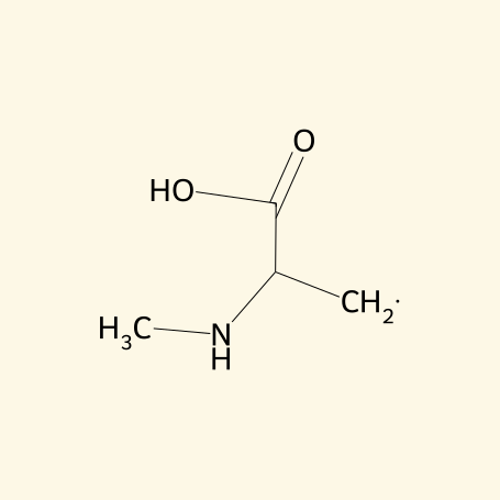 [CH2]C(NC)C(=O)O